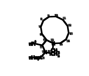 CCCCCCCN(C)C(CCC)C1CCCCCCCCCCN1C